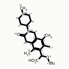 Cc1c(I)c(C(OC(C)(C)C)C(=O)O)c(C)c2c1CN(C1CCN(C)CC1)C(=O)C2